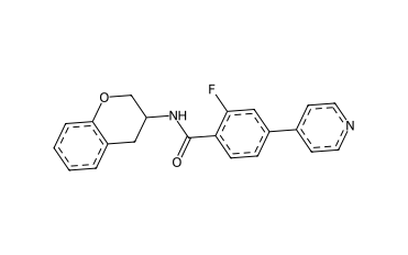 O=C(NC1COc2ccccc2C1)c1ccc(-c2ccncc2)cc1F